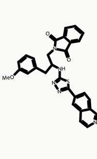 COc1cccc(CC(CN2C(=O)c3ccccc3C2=O)Nc2nnc(-c3ccc4cnccc4c3)s2)c1